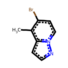 Cc1c(Br)ccn2nccc12